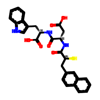 O=C(O)C[C@H](NC(=O)[C@@H](S)Cc1ccc2ccccc2c1)C(=O)N[C@@H](Cc1c[nH]c2ccccc12)C(=O)O